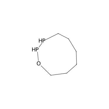 C1CCCPPOCC1